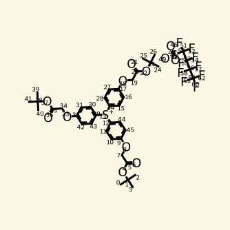 CC(C)(C)OC(=O)COc1ccc([S+](c2ccc(OCC(=O)OC(C)(C)C)cc2)c2ccc(OCC(=O)OC(C)(C)C)cc2)cc1.O=S(=O)([O-])C(F)(F)C(F)(F)C(F)(F)C(F)(F)F